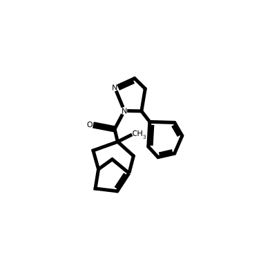 CC1(C(=O)N2N=CCC2c2ccccc2)CC2=CCC(C2)C1